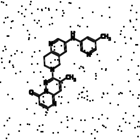 Cc1cncc(Nc2cnc3c(c2)CN(c2nn4c(=O)ccnc4cc2C)CC3)c1